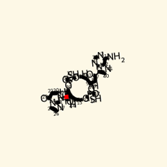 Nc1ncnn2c([C@H]3C[C@@H]4O[P@](=O)(S)OC[C@H]5O[C@@H](n6ccc(=O)n7ccnc67)[C@H](O[P@](=O)(S)OC[C@H]4O3)[C@@H]5O)cnc12